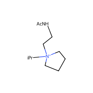 CC(=O)NCC[N+]1(C(C)C)CCCC1